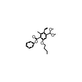 C=Cc1c(C(OC)OC)cc(OCCCC)c(C(=O)Oc2ccccc2)c1C